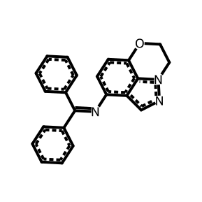 c1ccc(C(=Nc2ccc3c4c2cnn4CCO3)c2ccccc2)cc1